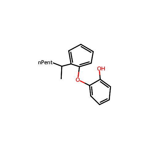 CCCCCC(C)c1ccccc1Oc1ccccc1O